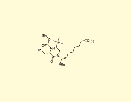 CCCCC(=CCCCCCC(=O)OCC)N(CC[Si](C)(C)C)C(=O)[C@H](CC(C)C)NC(=O)OC(C)(C)C